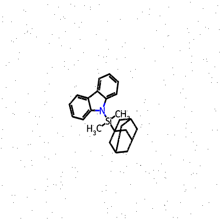 C[Si](C)(n1c2ccccc2c2ccccc21)C12CC3CC(CC(C3)C1)C2